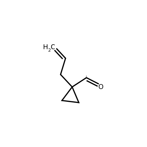 C=CCC1([C]=O)CC1